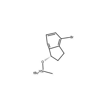 C[SiH](O[C@H]1CCc2c(Br)cccc21)C(C)(C)C